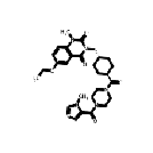 CCOc1ccc2c(c1)c(=O)n(C[C@H]1CC[C@H](C(=O)N3CCN(C(=O)c4cncn4C)CC3)CC1)c(=O)n2C